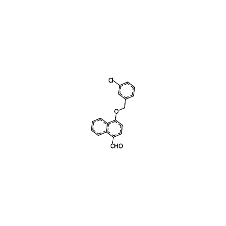 O=Cc1ccc(OCc2cccc(Cl)c2)c2ccccc12